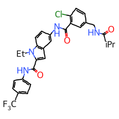 CCn1c(C(=O)Nc2ccc(C(F)(F)F)cc2)cc2cc(NC(=O)c3cc(CNC(=O)C(C)C)ccc3Cl)ccc21